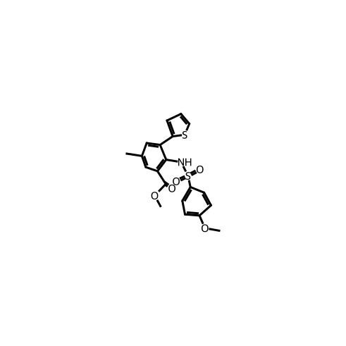 COC(=O)c1cc(C)cc(-c2cccs2)c1NS(=O)(=O)c1ccc(OC)cc1